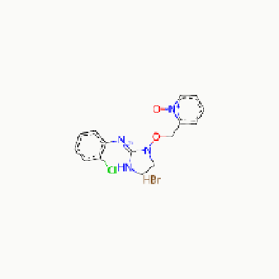 Br.[O-][n+]1ccccc1CON1CCN/C1=N\c1ccccc1Cl